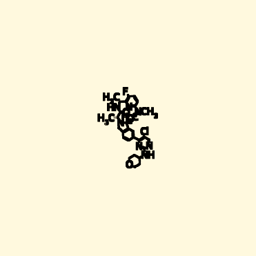 C[C@H](C(=O)N[C@H](C)c1nc(N(C)C)ccc1F)N1Cc2ccc(-c3nc(NC4CCOCC4)ncc3Cl)cc2C1=O